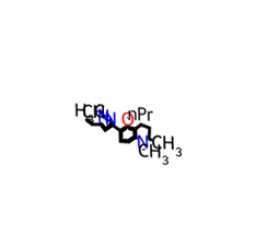 C/C=C\c1cc(-c2ccc3c(c2OCCC)CCC(C)N3C)nn1C